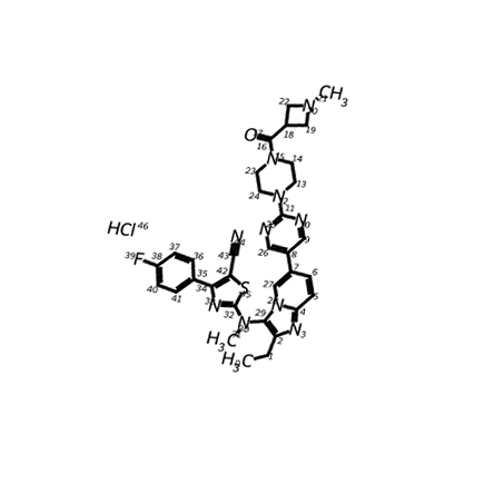 CCc1nc2ccc(-c3cnc(N4CCN(C(=O)C5CN(C)C5)CC4)nc3)cn2c1N(C)c1nc(-c2ccc(F)cc2)c(C#N)s1.Cl